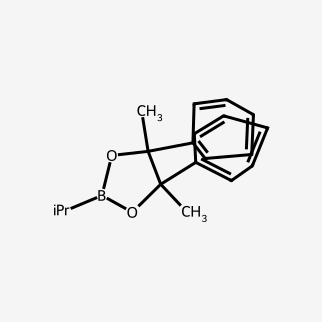 CC(C)B1OC(C)(c2ccccc2)C(C)(c2ccccc2)O1